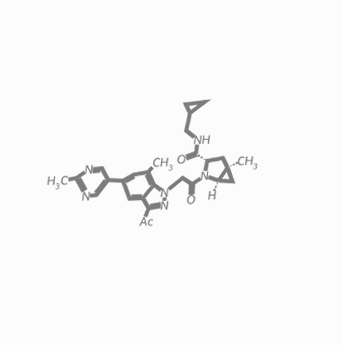 CC(=O)c1nn(CC(=O)N2[C@H](C(=O)NCC3CC3)C[C@@]3(C)C[C@@H]23)c2c(C)cc(-c3cnc(C)nc3)cc12